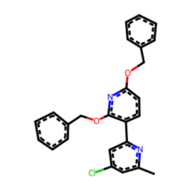 Cc1cc(Cl)cc(-c2ccc(OCc3ccccc3)nc2OCc2ccccc2)n1